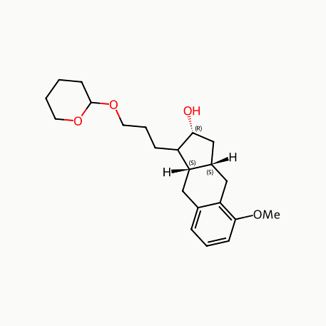 COc1cccc2c1C[C@H]1C[C@@H](O)C(CCCOC3CCCCO3)[C@H]1C2